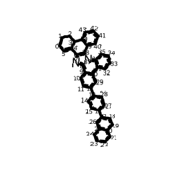 C1=CCC2C(=C1)c1nc3c4ccc(-c5ccc(-c6ccc7ccccc7c6)cc5)cc4c4ccccc4n3c1-c1ccccc12